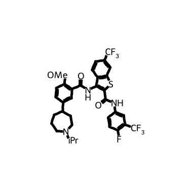 COc1ccc(C2CCCN(C(C)C)CC2)cc1C(=O)Nc1c(C(=O)Nc2ccc(F)c(C(F)(F)F)c2)sc2cc(C(F)(F)F)ccc12